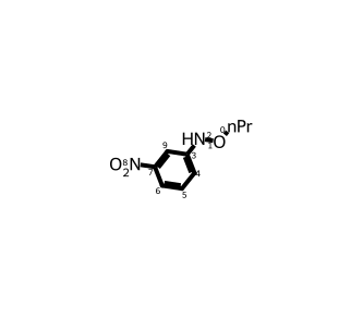 CCCONc1cccc([N+](=O)[O-])c1